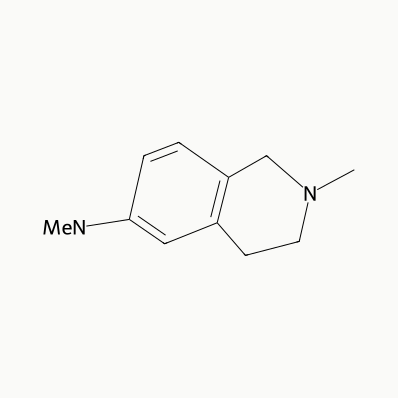 CNc1ccc2c(c1)CCN(C)C2